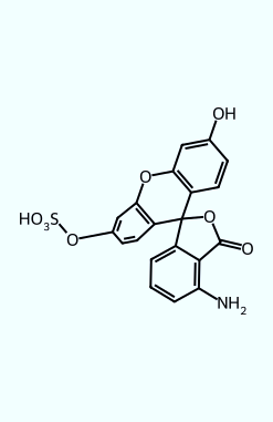 Nc1cccc2c1C(=O)OC21c2ccc(O)cc2Oc2cc(OS(=O)(=O)O)ccc21